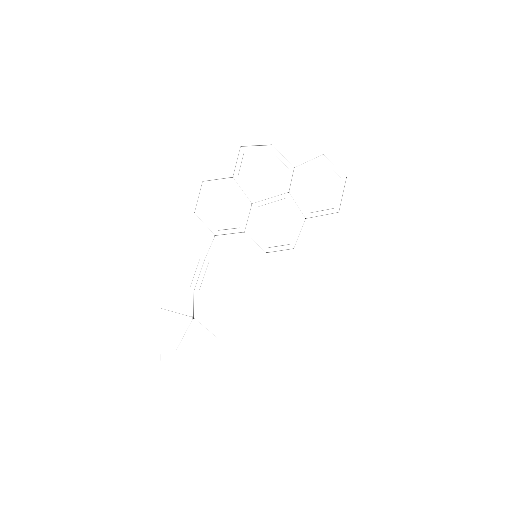 CC(C)(O)C#CC1=c2ccc3cccc4ccc(c2c43)CC1